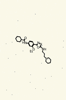 CCOc1cc(NC(=O)C2CCCCC2)ccc1-c1nnc(NCCCN2CCCCC2)o1